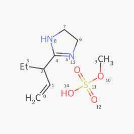 C=CC(CC)C1=NCCN1.COS(=O)(=O)O